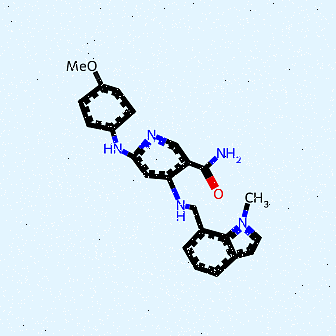 COc1ccc(Nc2cc(NCc3cccc4ccn(C)c34)c(C(N)=O)cn2)cc1